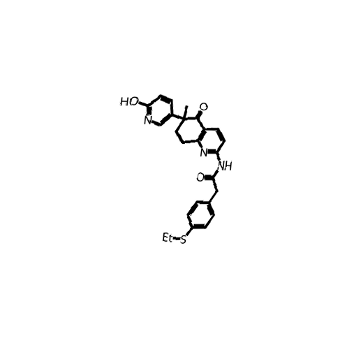 CCSc1ccc(CC(=O)Nc2ccc3c(n2)CCC(C)(c2ccc(O)nc2)C3=O)cc1